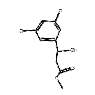 COC(=O)CC(O)c1cc(Cl)cc(Cl)c1